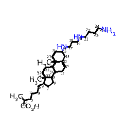 CC(CCCCC1CCC2C3CC=C4CC(NCCCNCCCCN)CCC4(C)C3CCC12C)C(=O)O